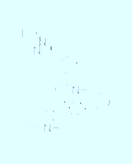 CNC(=O)Cc1cn(-c2ccccc2)c(NC(=O)c2cccc(-c3cnn(C)c3)c2)n1